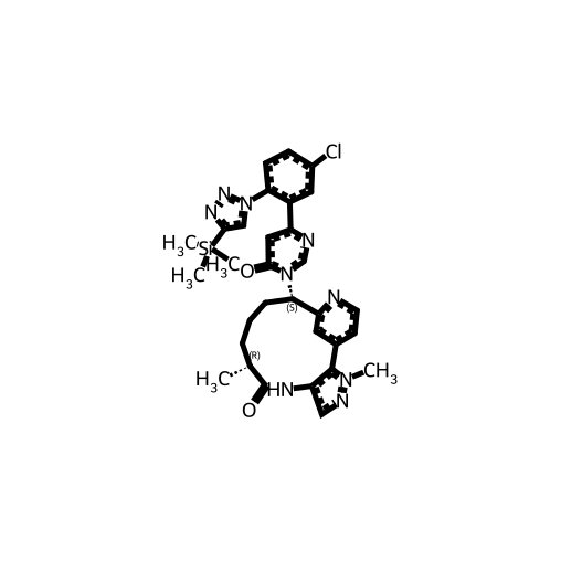 C[C@@H]1CCC[C@H](n2cnc(-c3cc(Cl)ccc3-n3cc([Si](C)(C)C)nn3)cc2=O)c2cc(ccn2)-c2c(cnn2C)NC1=O